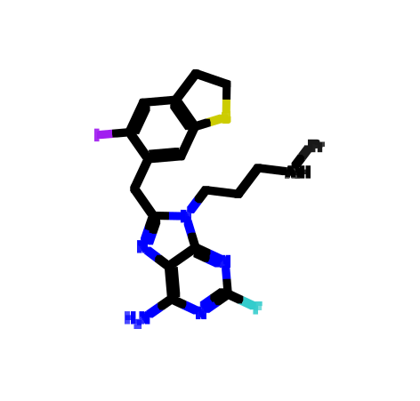 CC(C)[AsH]CCCn1c(Cc2cc3c(cc2I)CCS3)nc2c(N)nc(F)nc21